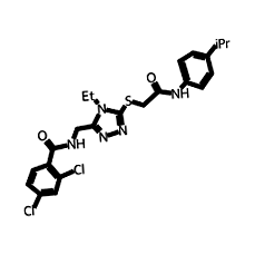 CCn1c(CNC(=O)c2ccc(Cl)cc2Cl)nnc1SCC(=O)Nc1ccc(C(C)C)cc1